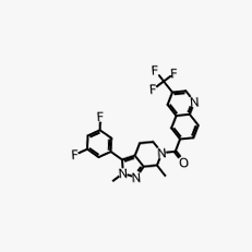 CC1c2nn(C)c(-c3cc(F)cc(F)c3)c2CCN1C(=O)c1ccc2ncc(C(F)(F)F)cc2c1